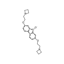 [O-][s+]1c2cc(OCCN3CCC3)ccc2c2ccc(OCCN3CCC3)cc21